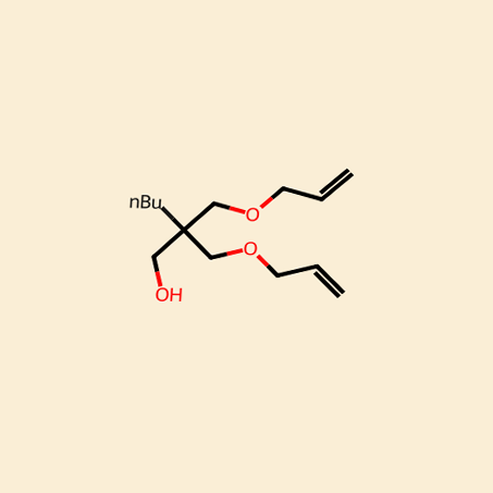 C=CCOCC(CO)(CCCC)COCC=C